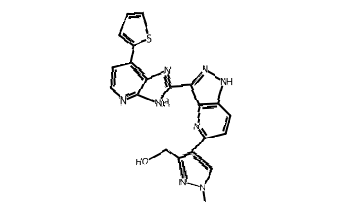 Cn1cc(-c2ccc3[nH]nc(-c4nc5c(-c6cccs6)ccnc5[nH]4)c3n2)c(CO)n1